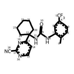 Cc1ccc(C(F)(F)F)cc1NC(=O)NC1(c2ccnc(C#N)n2)CCCCC1